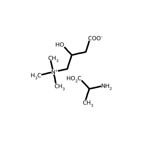 CC(N)C(=O)O.C[N+](C)(C)CC(O)CC(=O)[O-]